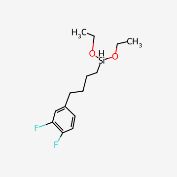 CCO[SiH](CCCCc1ccc(F)c(F)c1)OCC